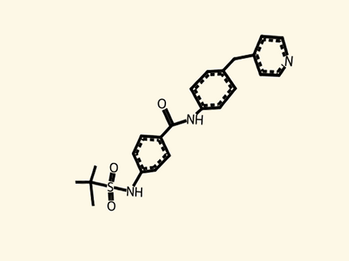 CC(C)(C)S(=O)(=O)Nc1ccc(C(=O)Nc2ccc(Cc3ccncc3)cc2)cc1